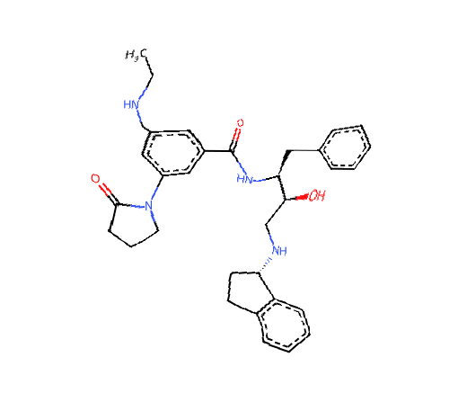 CCNc1cc(C(=O)N[C@@H](Cc2ccccc2)[C@@H](O)CN[C@H]2CCc3ccccc32)cc(N2CCCC2=O)c1